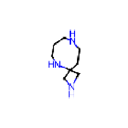 C1CNCCC2(CNC2)NC1